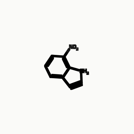 O=[N+]([O-])c1cccc2c1[SiH2]C#C2